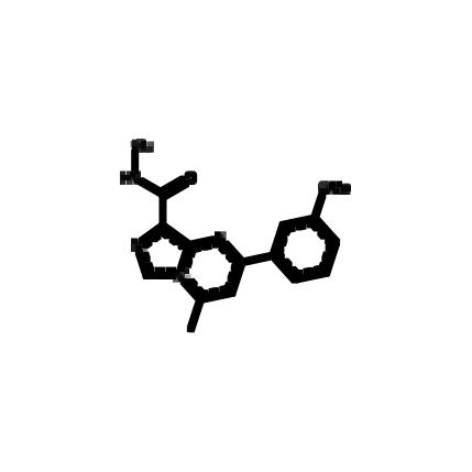 COc1cccc(-c2cc(C)n3cnc(C(=O)NC(C)(C)C)c3n2)c1